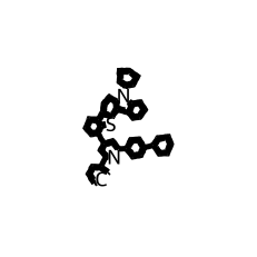 c1ccc(-c2ccc(-c3cc(-c4cccc5c4sc4c5ccc5c4c4ccccc4n5-c4ccccc4)cc(-c4ccccc4)n3)cc2)cc1